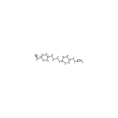 CCCC1CCC(CCCCC2CCC(C=O)CC2)CC1